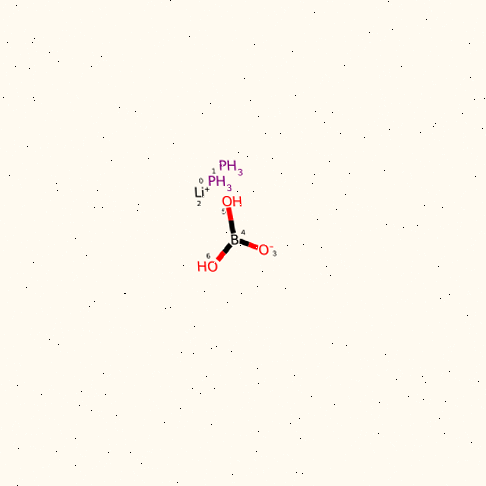 P.P.[Li+].[O-]B(O)O